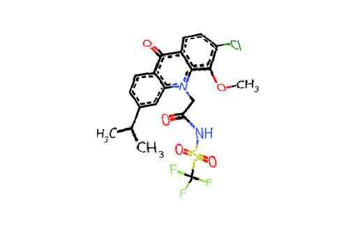 COc1c(Cl)ccc2c(=O)c3ccc(C(C)C)cc3n(CC(=O)NS(=O)(=O)C(F)(F)F)c12